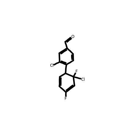 O=Cc1ccc(C2C=CC(F)=CC2(F)Cl)c(Cl)c1